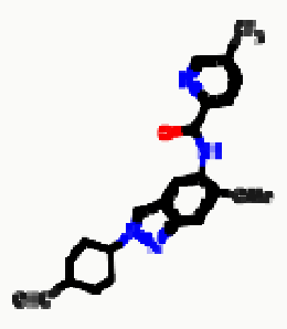 COc1cc2nn(C3CCC(C=O)CC3)cc2cc1NC(=O)c1ccc(C(F)(F)F)cn1